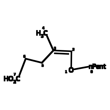 CCCCCOC=C(C)CCC(=O)O